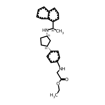 CCOC(=O)CNc1ccc([C@@H]2CC[C@H](N[C@H](C)c3cccc4ccccc34)C2)cc1